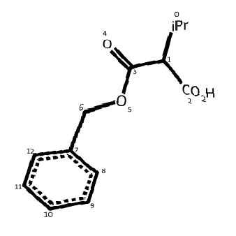 CC(C)C(C(=O)O)C(=O)OCc1ccccc1